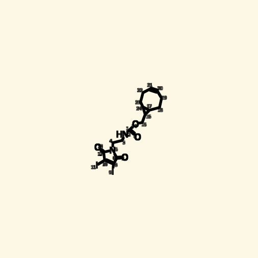 O=C(NCCN1C(=O)C(I)=C(I)C1=O)OCC1C2CCC#CCCC21